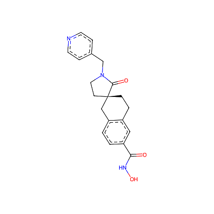 O=C(NO)c1ccc2c(c1)CC[C@]1(CCN(Cc3ccncc3)C1=O)C2